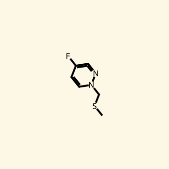 CSCN1C=CC(F)=C=N1